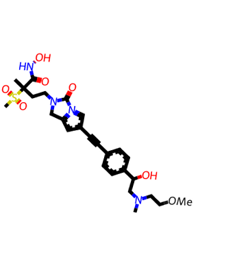 COCCN(C)CC(O)c1ccc(C#Cc2cc3n(c2)C(=O)N(CCC(C)(C(=O)NO)S(C)(=O)=O)C3)cc1